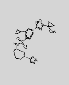 O=S(=O)(N[C@H]1CCC[C@@H](n2cnnc2)C1)c1ccc(-c2noc(C3(O)CC3)n2)cc1C1CC1